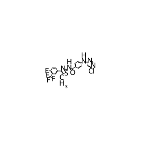 Cc1sc(NC(=O)c2ccc(Nc3cc(Cl)ncn3)cc2)nc1-c1ccc(F)c(C(F)(F)F)c1